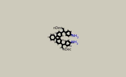 CCCCCCCCCCCC(c1ccc(N)cc1)c1ccc(C2(c3ccc(C(CCCCCCCCCCC)c4ccc(N)cc4)cc3)CCCCC2)cc1